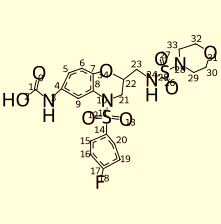 O=C(O)Nc1ccc2c(c1)N(S(=O)(=O)c1ccc(F)cc1)CC(CNS(=O)(=O)N1CCOCC1)O2